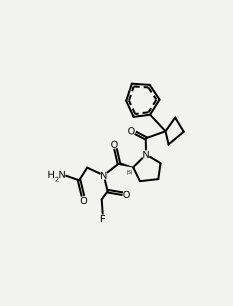 NC(=O)CN(C(=O)CF)C(=O)[C@@H]1CCCN1C(=O)C1(c2ccccc2)CCC1